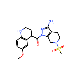 COc1ccc2c(c1)C(C(=O)n1nc(N)c3c1CN(S(C)(=O)=O)CC3)CCN2